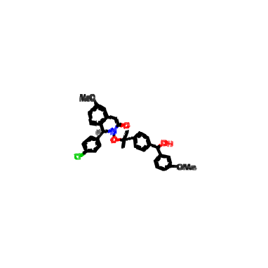 COc1cccc(C(O)c2ccc(C(C)(C)ON3C(=O)Cc4cc(OC)ccc4[C@@H]3c3ccc(Cl)cc3)cc2)c1